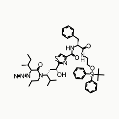 CCCN(C(=O)[C@@H](N=[N+]=[N-])[C@@H](C)CC)[C@H](C[C@@H](O)c1nc(C(=O)N[C@@H](Cc2ccccc2)C(=O)NCCO[Si](c2ccccc2)(c2ccccc2)C(C)(C)C)cs1)C(C)C